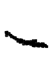 C=CC(=O)OCCOCCOCCOc1ccc(OC(=O)C2CCC(C(=O)Oc3ccc(C4CCC(C5CCC(CCC)CC5)CC4)cc3C=N)CC2)cc1